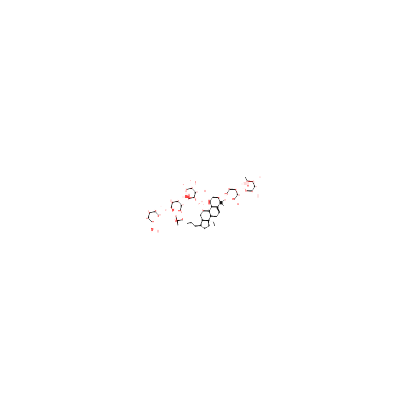 CC[C@@]12CCC([C@H](C)CC[C@@H](O[C@@H]3O[C@H](CO[C@H]4O[C@H](CO)[C@@H](O)[C@H](O)[C@H]4O)[C@@H](O)[C@H](O)[C@H]3O[C@@H]3O[C@H](CO)[C@@H](O)[C@H](O)[C@H]3O)C(C)(C)O)[C@@]1(C)C[C@@H](O)[C@@]1(C)C3CC[C@H](O[C@@H]4O[C@H](CO)[C@@H](O[C@H]5OC(C)[C@@H](O)[C@H](O)[C@H]5O)[C@H](O)[C@H]4O)C(C)(C)C3=CCC12